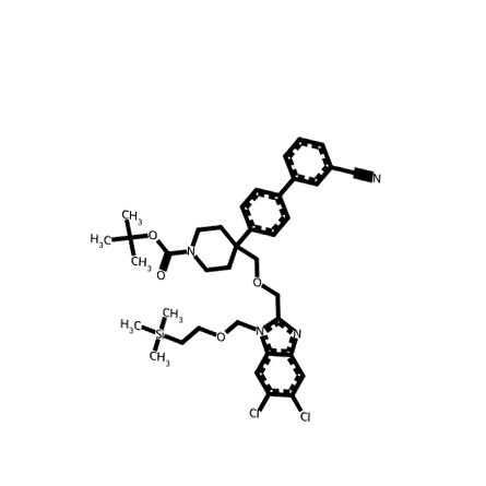 CC(C)(C)OC(=O)N1CCC(COCc2nc3cc(Cl)c(Cl)cc3n2COCC[Si](C)(C)C)(c2ccc(-c3cccc(C#N)c3)cc2)CC1